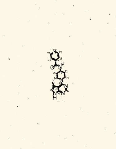 Cc1c[nH]c2ncnc(N3CCC(N(C)C(=O)c4ccncc4)CC3)c12